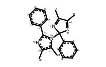 CC1=NC(c2ccccc2)(n2c(-c3ccccc3)nc(C)c2C)N=C1C